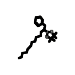 CCCCCCCCCCCC(Cc1ccccc1)B1OC(C)(C)C(C)(C)O1